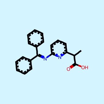 CC(C(=O)O)c1cccc(N=C(c2ccccc2)c2ccccc2)n1